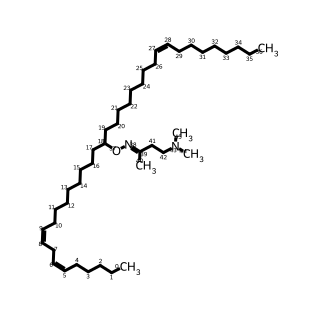 CCCCC/C=C\C/C=C\CCCCCCCCC(CCCCCCCC/C=C\CCCCCCCC)O/N=C(\C)CCN(C)C